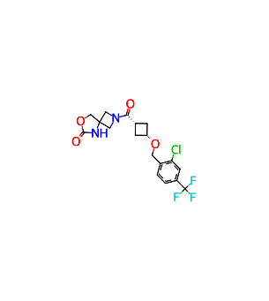 O=C1NC2(CO1)CN(C(=O)[C@H]1C[C@@H](OCc3ccc(C(F)(F)F)cc3Cl)C1)C2